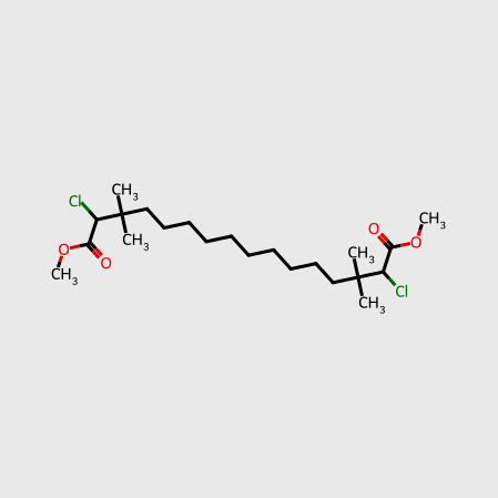 COC(=O)C(Cl)C(C)(C)CCCCCCCCCCC(C)(C)C(Cl)C(=O)OC